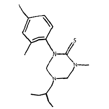 Cc1ccc(N2CN(C(C)C)CN(C)C2=S)c(C)c1